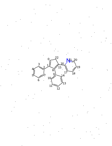 C1=C(c2ccccc2)C(c2ccccc2)=C(c2ccccn2)C1